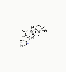 C=C1C[C@@H]2[C@H](CC[C@@]3(C)[C@H]2CC[C@]3(C)O)[C@@]2(C)C/C(=C/O)C(=O)C(C)=C12